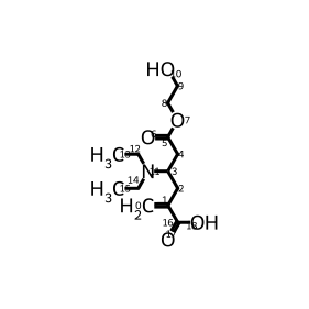 C=C(CC(CC(=O)OCCO)N(CC)CC)C(=O)O